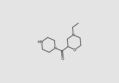 CCN1CCOC(C(=O)N2CCNCC2)C1